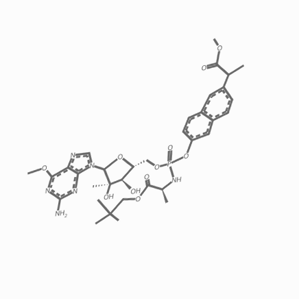 COC(=O)C(C)c1ccc2cc(OP(=O)(N[C@@H](C)C(=O)OCC(C)(C)C)OC[C@H]3OC(n4cnc5c(OC)nc(N)nc54)[C@](C)(O)[C@@H]3O)ccc2c1